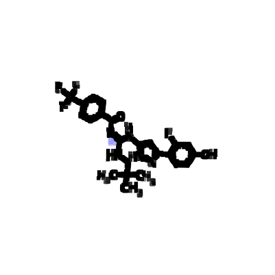 CC(C)(C)CN/C(=N/C(=O)c1ccc(C(F)(F)F)cc1)Nc1cc(-c2ccc(O)cc2F)n[nH]1